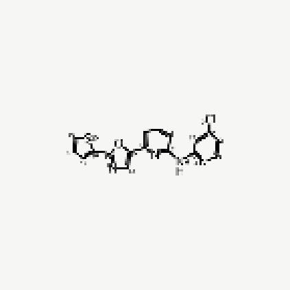 Clc1ccnc(Nc2cccc(-c3cnc(-c4cccs4)o3)n2)c1